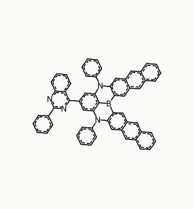 c1ccc(-c2nc(-c3cc4c5c(c3)N(c3ccccc3)c3cc6cc7ccccc7cc6cc3B5c3cc5cc6ccccc6cc5cc3N4c3ccccc3)c3ccccc3n2)cc1